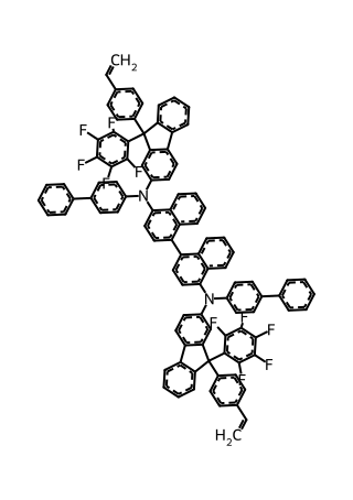 C=Cc1ccc(C2(c3c(F)c(F)c(F)c(F)c3F)c3ccccc3-c3ccc(N(c4ccc(-c5ccccc5)cc4)c4ccc(-c5ccc(N(c6ccc(-c7ccccc7)cc6)c6ccc7c(c6)C(c6ccc(C=C)cc6)(c6c(F)c(F)c(F)c(F)c6F)c6ccccc6-7)c6ccccc56)c5ccccc45)cc32)cc1